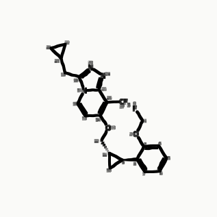 FCOc1ccccc1[C@H]1C[C@@H]1COc1ccn2c(CC3CC3)nnc2c1C(F)(F)F